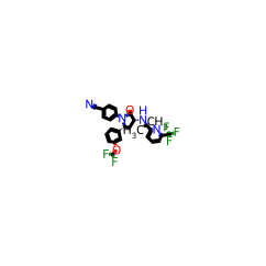 CC(C)(N[C@@H]1C[C@H](c2cccc(OC(F)F)c2)N(c2ccc(C#N)cc2)C1=O)c1cccc(C(F)(F)F)n1